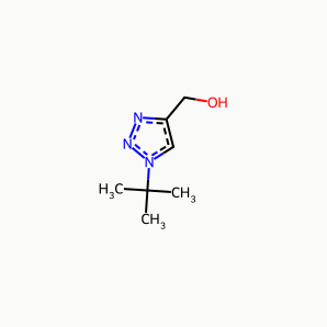 CC(C)(C)n1cc(CO)nn1